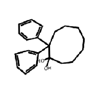 OC1(O)CCCCCCCC1(c1ccccc1)c1ccccc1